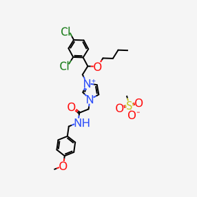 CCCCOC(C[n+]1ccn(CC(=O)NCc2ccc(OC)cc2)c1)c1ccc(Cl)cc1Cl.CS(=O)(=O)[O-]